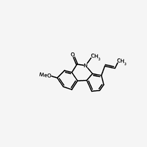 C/C=C/c1cccc2c3ccc(OC)cc3c(=O)n(C)c12